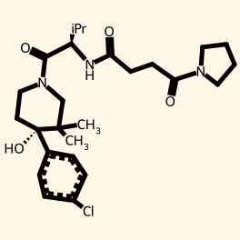 CC(C)[C@@H](NC(=O)CCC(=O)N1CCCC1)C(=O)N1CC[C@](O)(c2ccc(Cl)cc2)C(C)(C)C1